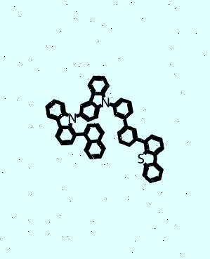 C1=C(c2cccc(-n3c4ccccc4c4cc(-n5c6ccccc6c6cccc(-c7cccc8ccccc78)c65)ccc43)c2)C=C(c2cccc3c2sc2ccccc23)CC1